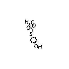 COC(=O)CSc1ccc(O)cc1